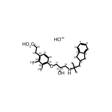 CC(C)(CC1Cc2ccccc2C1)NC[C@H](O)COc1ccc(CCC(=O)O)c(F)c1F.Cl